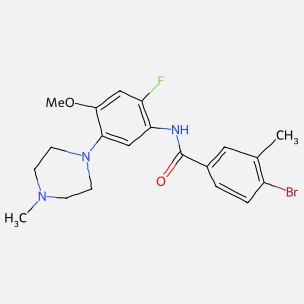 COc1cc(F)c(NC(=O)c2ccc(Br)c(C)c2)cc1N1CCN(C)CC1